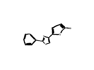 Brc1ccc(-c2csc(-c3ccccc3)n2)s1